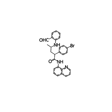 CC(CC(C(=O)Nc1cccc2cccnc12)c1ccc(Br)cc1)Nc1ccccc1C=O